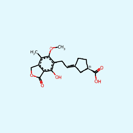 COc1c(C)c2c(c(O)c1CC=C1CC[C@@H](C(=O)O)C1)C(=O)OC2